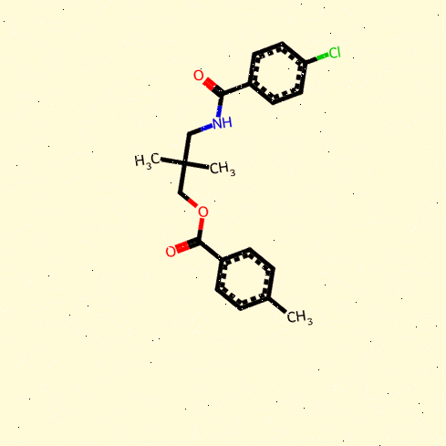 Cc1ccc(C(=O)OCC(C)(C)CNC(=O)c2ccc(Cl)cc2)cc1